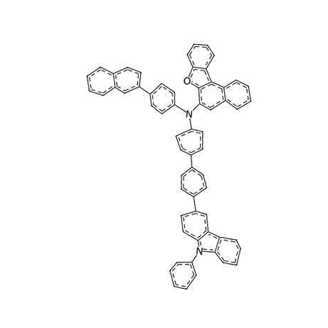 c1ccc(-n2c3ccccc3c3cc(-c4ccc(-c5ccc(N(c6ccc(-c7ccc8ccccc8c7)cc6)c6cc7ccccc7c7c6oc6ccccc67)cc5)cc4)ccc32)cc1